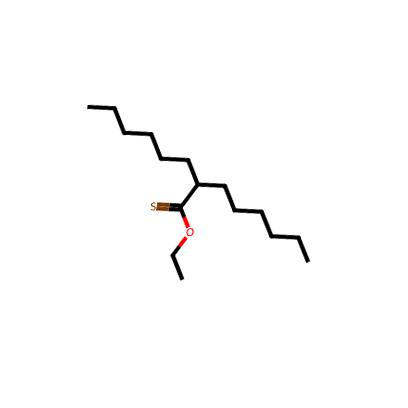 CCCCCCC(CCCCCC)C(=S)OCC